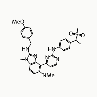 CNc1ccc2c(nc(NCc3ccc(OC)cc3)n2C)c1-c1ccnc(Nc2ccc(C(C)S(C)(=O)=O)cc2)n1